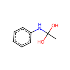 CC(O)(O)Nc1cc[c]cc1